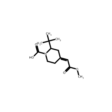 COC(=O)C=C1CCN(C(=O)O)C(C(C)(C)C)C1